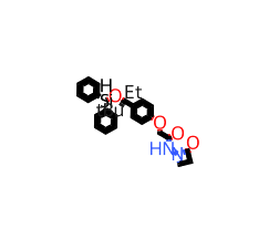 CCC(O[SiH](c1ccccc1)c1ccccc1)(c1ccc(OCC(=O)NN2CCC2=O)cc1)C(C)(C)C